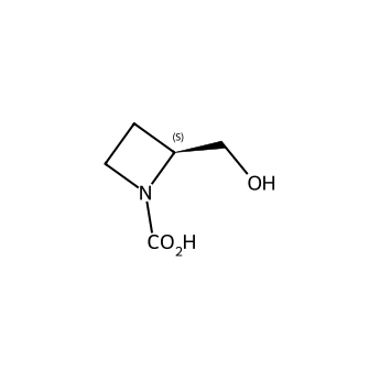 O=C(O)N1CC[C@H]1CO